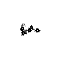 COc1ccc(-c2cccc3cnc(Nc4cccc(N5CCCC5COCc5ccccc5)c4)nc23)cc1